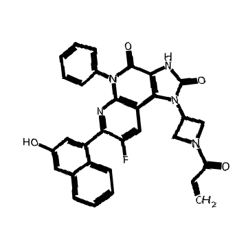 C=CC(=O)N1CC(n2c(=O)[nH]c3c(=O)n(-c4ccccc4)c4nc(-c5cc(O)cc6ccccc56)c(F)cc4c32)C1